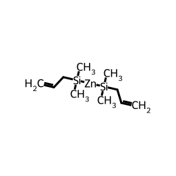 C=CC[Si](C)(C)[Zn][Si](C)(C)CC=C